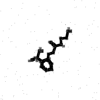 O=C(CCc1ccccc1[PH](=O)O)OCCO